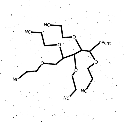 CCCCCC(OCCC#N)C(OCCC#N)C(OCCC#N)C(COCCC#N)OCCC#N